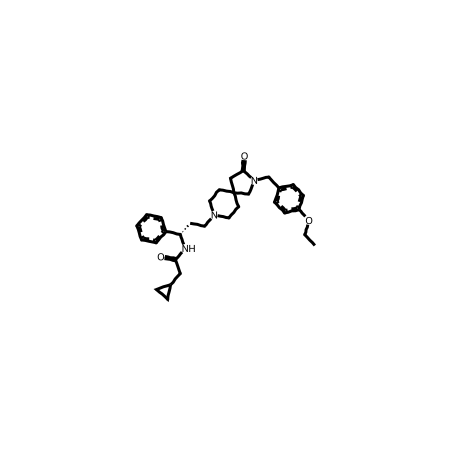 CCOc1ccc(CN2CC3(CCN(CC[C@H](NC(=O)CC4CC4)c4ccccc4)CC3)CC2=O)cc1